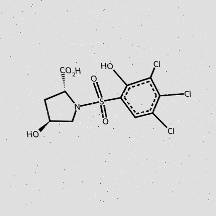 O=C(O)[C@H]1C[C@H](O)CN1S(=O)(=O)c1cc(Cl)c(Cl)c(Cl)c1O